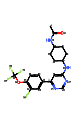 CC(=O)NC1CCC(Nc2cc(-c3ccc(OC(F)(F)F)c(F)c3)ncn2)CC1